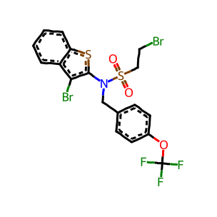 O=S(=O)(CCBr)N(Cc1ccc(OC(F)(F)F)cc1)c1sc2ccccc2c1Br